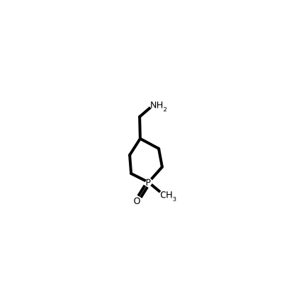 CP1(=O)CCC(CN)CC1